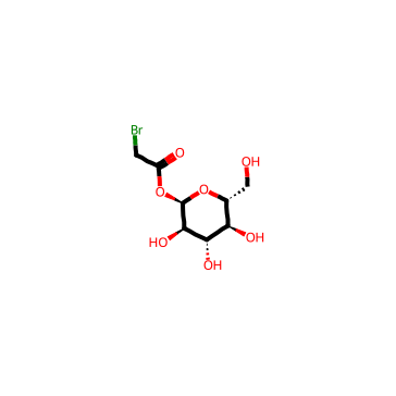 O=C(CBr)O[C@H]1O[C@H](CO)[C@@H](O)[C@H](O)[C@H]1O